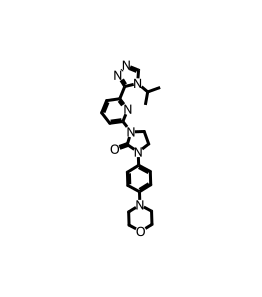 CC(C)n1cnnc1-c1cccc(N2CCN(c3ccc(N4CCOCC4)cc3)C2=O)n1